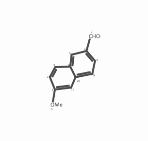 COc1ccc2cc([C]=O)ccc2c1